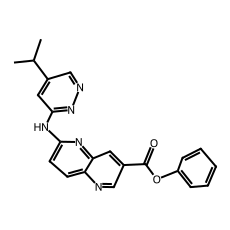 CC(C)c1cnnc(Nc2ccc3ncc(C(=O)Oc4ccccc4)cc3n2)c1